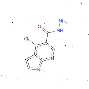 NNC(=O)c1cnc2[nH]ccc2c1Cl